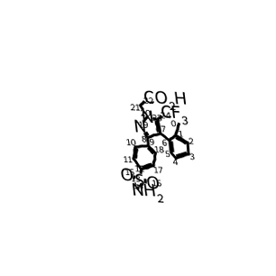 Cc1ccccc1-c1c(-c2ccc(S(N)(=O)=O)cc2)nn(CC(=O)O)c1C(F)(F)F